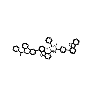 CC(c1ccccc1)C1Cc2ccc(-c3cccc4c3oc3cccc(C5=NC(c6ccc(-c7cccc8c7oc7ccccc78)cc6)N(C)C(c6ccccc6)N5)c34)cc2-c2ccccc21